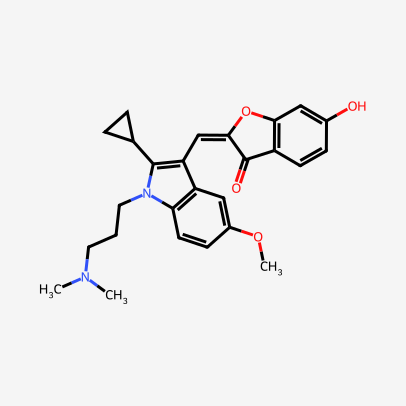 COc1ccc2c(c1)c(C=C1Oc3cc(O)ccc3C1=O)c(C1CC1)n2CCCN(C)C